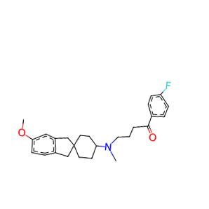 COc1ccc2c(c1)CC1(CCC(N(C)CCCC(=O)c3ccc(F)cc3)CC1)C2